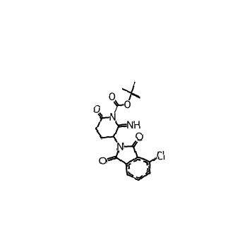 CC(C)(C)OC(=O)N1C(=N)C(N2C(=O)c3cccc(Cl)c3C2=O)CCC1=O